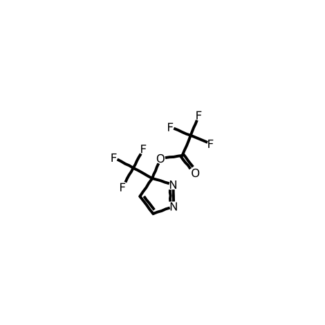 O=C(OC1(C(F)(F)F)C=CN=N1)C(F)(F)F